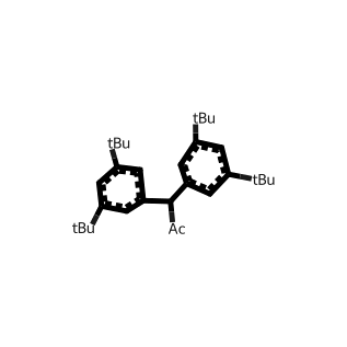 CC(=O)C(c1cc(C(C)(C)C)cc(C(C)(C)C)c1)c1cc(C(C)(C)C)cc(C(C)(C)C)c1